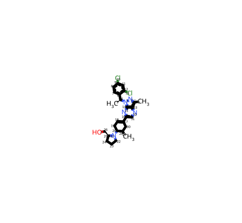 Cc1nn([C@H](C)c2ccc(Cl)cc2Cl)c2nc(C3=CCC(N4CCC[C@H]4CO)C(C)C3)cnc12